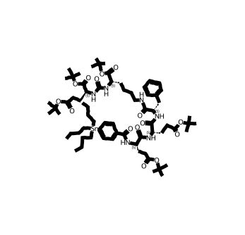 CCC[CH2][Sn]([CH2]CCC)([CH2]CCC)[c]1ccc(C(=O)N[C@@H](CCC(=O)OC(C)(C)C)C(=O)N[C@@H](CCC(=O)OC(C)(C)C)C(=O)N[C@@H](Cc2ccccc2)C(=O)NCCCC[C@H](NC(=O)N[C@@H](CCC(=O)OC(C)(C)C)C(=O)OC(C)(C)C)C(=O)OC(C)(C)C)cc1